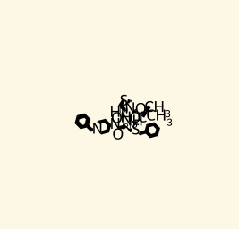 CC(C)(C)OC(=O)N1CSC[C@H]1C(=O)N[C@@H](CSCC1CCCCC1)C(=O)NC1CCN(Cc2ccccc2)CC1